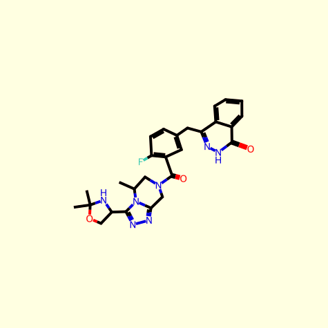 CC1CN(C(=O)c2cc(Cc3n[nH]c(=O)c4ccccc34)ccc2F)Cc2nnc(C3COC(C)(C)N3)n21